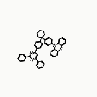 c1ccc(-c2cc(-c3ccc(C4(c5ccc(N6c7ccccc7Sc7ccccc76)cc5)CCCCC4)cc3)nc(-c3ccccc3)n2)cc1